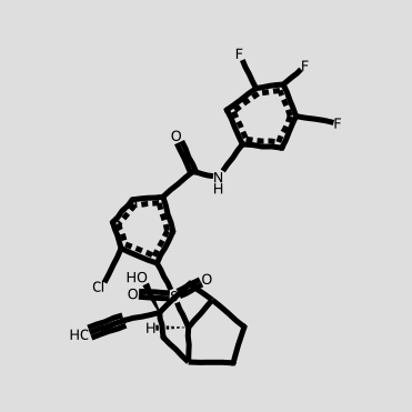 C#C[C@]1(O)CC2CCC(C1)[C@H]2S(=O)(=O)c1cc(C(=O)Nc2cc(F)c(F)c(F)c2)ccc1Cl